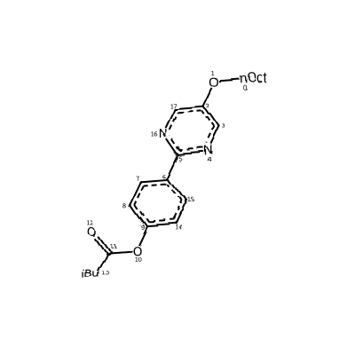 CCCCCCCCOc1cnc(-c2ccc(OC(=O)C(C)CC)cc2)nc1